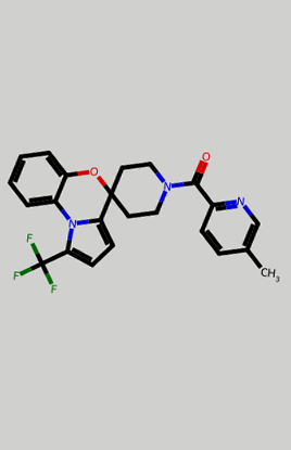 Cc1ccc(C(=O)N2CCC3(CC2)Oc2ccccc2-n2c(C(F)(F)F)ccc23)nc1